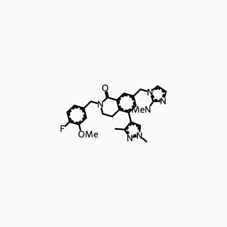 CNc1nccn1Cc1cc2c(c(-c3cn(C)nc3C)c1)CCN(Cc1ccc(F)c(OC)c1)C2=O